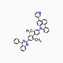 Cc1cc(-c2nc(-c3ccccc3)c3ccccc3n2)ccc1-c1ccc(N(c2ccc(-c3cccnc3)cc2)c2ccccc2-c2ccccc2)cc1C